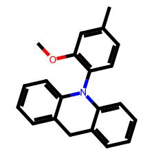 COc1cc(C)ccc1N1c2ccccc2Cc2ccccc21